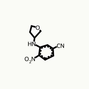 N#Cc1ccc([N+](=O)[O-])c(NC2CCOC2)c1